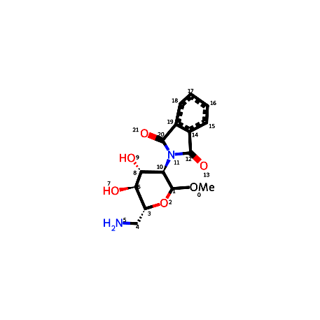 COC1O[C@H](CN)[C@@H](O)[C@H](O)[C@H]1N1C(=O)c2ccccc2C1=O